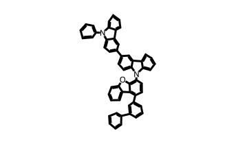 c1ccc(-c2cccc(-c3ccc(-n4c5ccccc5c5cc(-c6ccc7c(c6)c6ccccc6n7-c6ccccc6)ccc54)c4oc5ccccc5c34)c2)cc1